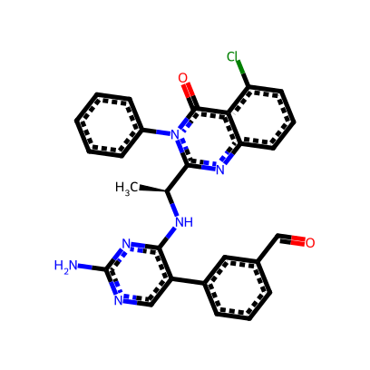 C[C@H](Nc1nc(N)ncc1-c1cccc(C=O)c1)c1nc2cccc(Cl)c2c(=O)n1-c1ccccc1